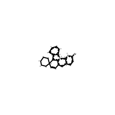 Brc1ccc2cc3c4c(c5ccccc5n4c2n1)C1(C=C3)CCCCC1